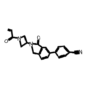 C=CC(=O)N1CC(N2Cc3ccc(-c4ccc(C#N)cc4)cc3C2=O)C1